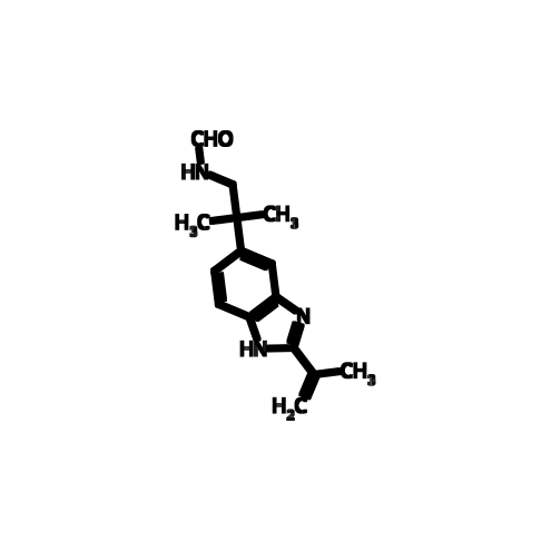 C=C(C)c1nc2cc(C(C)(C)CNC=O)ccc2[nH]1